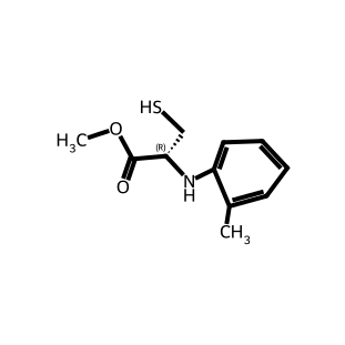 COC(=O)[C@H](CS)Nc1ccccc1C